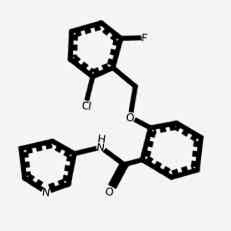 O=C(Nc1cccnc1)c1ccccc1OCc1c(F)cccc1Cl